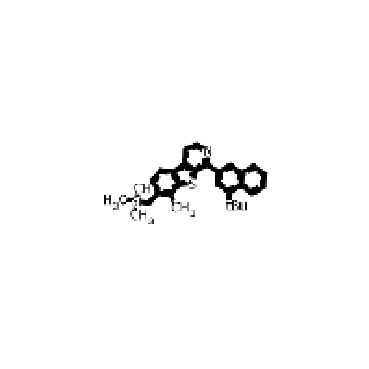 Cc1c(C[Si](C)(C)C)ccc2c1sc1c(-c3cc(C(C)(C)C)c4ccccc4c3)nccc12